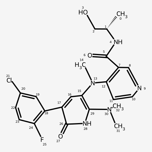 C[C@@H](CO)NC(=O)c1cnccc1N(C)c1cc(-c2cc(Cl)ccc2F)c(=O)[nH]c1N(C)C